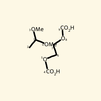 COC(C)OC.O=C(O)OCCOC(=O)O